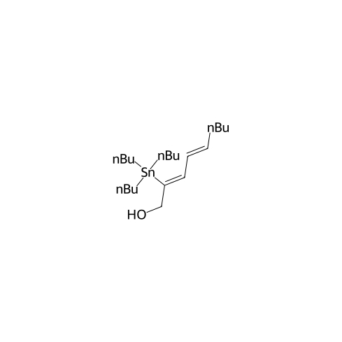 CCCC/C=C/C=[C](/CO)[Sn]([CH2]CCC)([CH2]CCC)[CH2]CCC